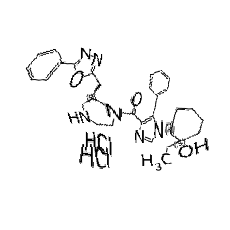 CC[C@]1(O)CCCC[C@H]1n1cnc(C(=O)N2CCNC[C@H]2Cc2nnc(-c3ccccc3)o2)c1-c1ccccc1.Cl.Cl